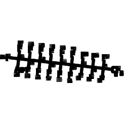 FC(F)(F)C(F)(F)C(F)(F)C(F)(F)C(F)(F)C(F)(F)C(F)(F)C(F)(F)C(F)(F)C(F)(F)[As]